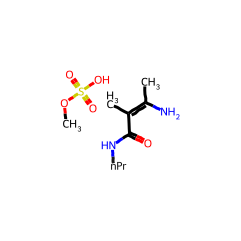 CCCNC(=O)/C(C)=C(/C)N.COS(=O)(=O)O